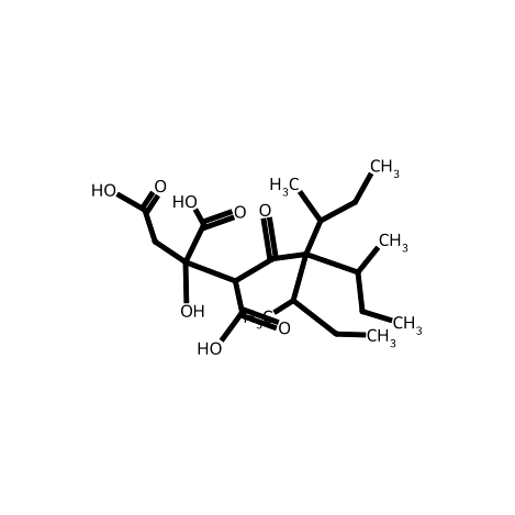 CCC(C)C(C(=O)C(C(=O)O)C(O)(CC(=O)O)C(=O)O)(C(C)CC)C(C)CC